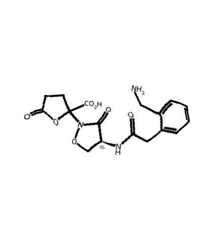 NCc1ccccc1CC(=O)N[C@H]1CON(C2(C(=O)O)CCC(=O)O2)C1=O